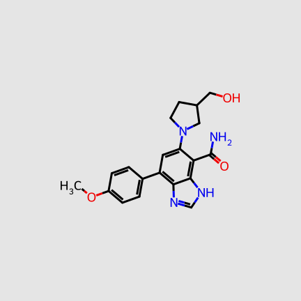 COc1ccc(-c2cc(N3CCC(CO)C3)c(C(N)=O)c3[nH]cnc23)cc1